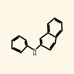 [c]1c(Nc2ccccc2)ccc2ccccc12